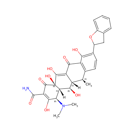 C[C@@H]1c2ccc(C3Cc4ccccc4O3)c(O)c2C(=O)C2=C(O)[C@@]3(O)C(=O)C(C(N)=O)=C(O)[C@H](N(C)C)[C@H]3[C@H](O)[C@H]21